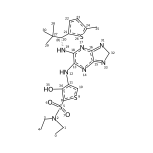 CCN(CC)S(=O)(=O)c1scc(Nc2nc3c(nc2N[C@@H](c2ccc(C)s2)C(C)(C)C)=NCN=3)c1O